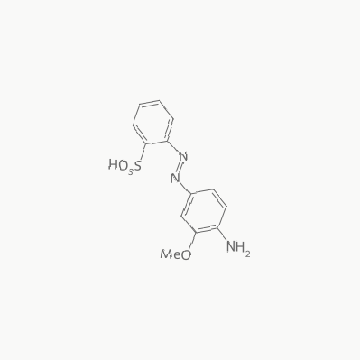 COc1cc(N=Nc2ccccc2S(=O)(=O)O)ccc1N